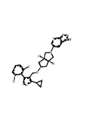 Clc1cccc(Cl)c1-c1noc(C2CC2)c1CO[C@H]1C[C@@H]2CN(c3cnc4nn[nH]c4c3)C[C@@H]2C1